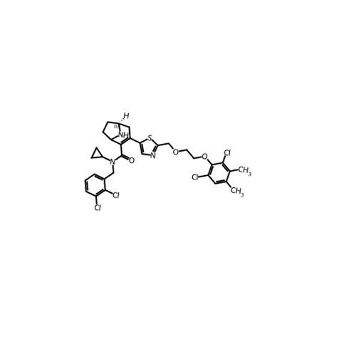 Cc1cc(Cl)c(OCCOCc2ncc(C3=C(C(=O)N(Cc4cccc(Cl)c4Cl)C4CC4)C4CC[C@@H](C3)N4)s2)c(Cl)c1C